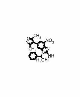 CCNc1nc2c([N+](=O)[O-])cc(-c3c(C)noc3C)cc2n1C(C)c1ccccc1